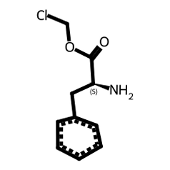 N[C@@H](Cc1ccccc1)C(=O)OCCl